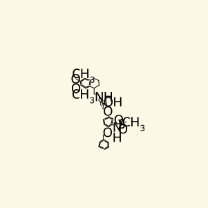 COc1cc2c(cc1OC)C(CNC[C@@H](O)COc1ccc(OCc3ccccc3)c(NS(C)(=O)=O)c1)CCC2